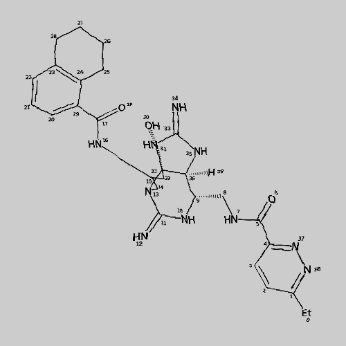 CCc1ccc(C(=O)NC[C@@H]2NC(=N)N3CC(NC(=O)c4cccc5c4CCCC5)[C@@H](O)C34NC(=N)N[C@@H]24)nn1